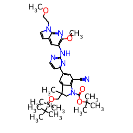 COCCn1ccc2cc(Nc3nccc(-c4cc(C#N)c5c(c4)C(C)(CO[Si](C)(C)C(C)(C)C)CN5C(=O)OC(C)(C)C)n3)c(OC)nc21